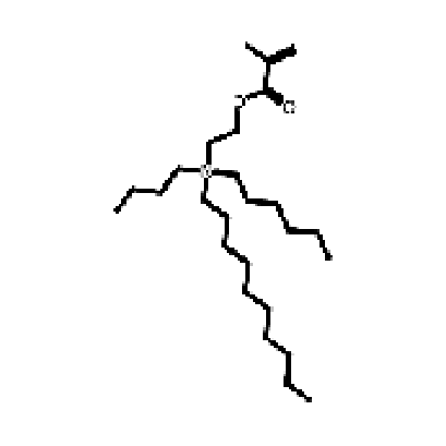 C=C(C)C(=O)OCC[N+](CCCC)(CCCCCC)CCCCCCCCCC